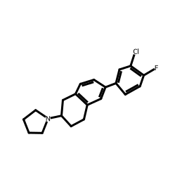 Fc1ccc(-c2ccc3c(c2)CCC(N2CCCC2)C3)cc1Cl